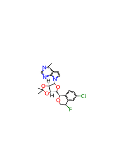 Cc1ncnc2c1ccn2[C@@H]1OC([C@@H]2OC[C@H](F)c3cc(Cl)ccc32)[C@H]2OC(C)(C)O[C@H]21